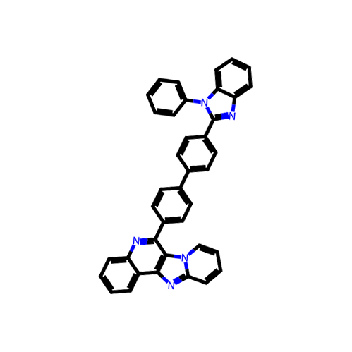 c1ccc(-n2c(-c3ccc(-c4ccc(-c5nc6ccccc6c6nc7ccccn7c56)cc4)cc3)nc3ccccc32)cc1